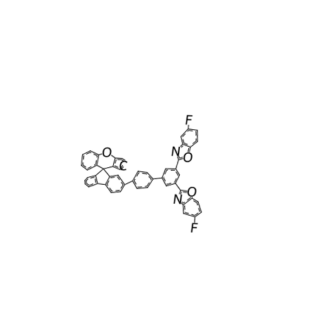 Fc1ccc2oc(-c3cc(-c4ccc(-c5ccc6c(c5)C5(c7ccccc7Oc7ccccc75)c5ccccc5-6)cc4)cc(-c4nc5cc(F)ccc5o4)c3)nc2c1